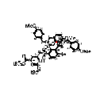 COc1ccc(CN(Cc2ccc(OC)cc2)S(=O)(=O)c2c(S(=O)(=O)C[C@H](CNC(=O)OC(C)(C)C)NC(=O)OC(C)(C)C)ccc(I)c2-c2nnn(Cc3ccc(OC)cc3)n2)cc1